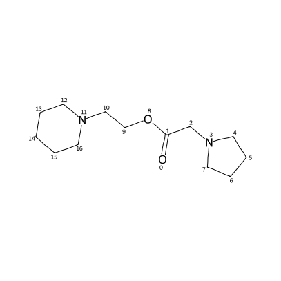 O=C(CN1CCCC1)OCCN1CCCCC1